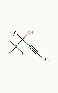 [CH2]C#CC(C)(O)C(F)(F)F